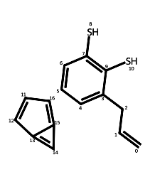 C=CCc1cccc(S)c1S.c1cc2cc-2c1